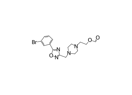 O=COCCN1CCN(Cc2noc(-c3cccc(Br)c3)n2)CC1